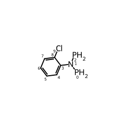 PN(P)c1ccccc1Cl